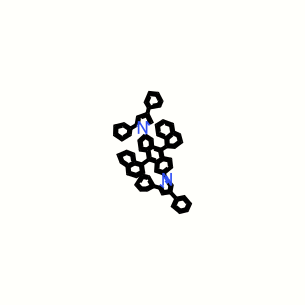 c1ccc(-c2cc(-c3ccccc3)n(-c3ccc4c(-c5cccc6ccccc56)c5cc(-n6cc(-c7ccccc7)cc6-c6ccccc6)ccc5c(-c5cccc6ccccc56)c4c3)c2)cc1